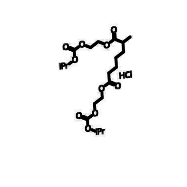 CC(C)OC(=O)OCCOC(=O)CCCCC(C)C(=O)OCCOC(=O)OC(C)C.Cl